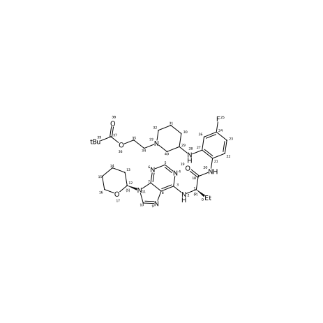 CC[C@@H](Nc1ncnc2c1ncn2[C@@H]1CCCCO1)C(=O)Nc1ccc(F)cc1NC1CCCN(CCOC(=O)C(C)(C)C)C1